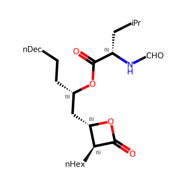 CCCCCCCCCCCC[C@@H](C[C@@H]1OC(=O)[C@H]1CCCCCC)OC(=O)[C@H](CC(C)C)NC=O